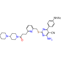 CC(=O)Nc1ccc(-c2nc(SCc3cccc(CCC(=O)N4CCC(N5CCCCC5)CC4)n3)nc(N)c2C#N)cc1